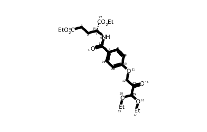 CCOC(=O)CC[C@@H](NC(=O)c1ccc(OCC(=O)C(OCC)OCC)cc1)C(=O)OCC